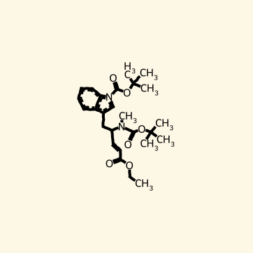 CCOC(=O)C=CC(Cc1cn(C(=O)OC(C)(C)C)c2ccccc12)N(C)C(=O)OC(C)(C)C